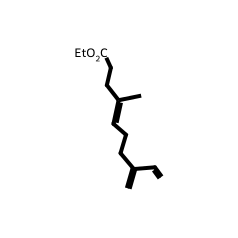 C=CC(=C)CC/C=C(\C)CCC(=O)OCC